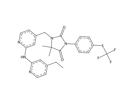 CCc1ccnc(Nc2cc(CN3C(=O)N(c4ccc(SC(F)(F)F)cc4)C(=O)C3(C)C)ccn2)c1